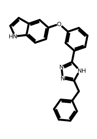 c1ccc(Cc2nnc(-c3cccc(Oc4ccc5[nH]ccc5c4)c3)[nH]2)cc1